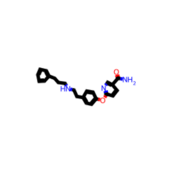 NC(=O)c1ccc(Oc2ccc(CCNCCCc3ccccc3)cc2)nc1